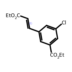 CCOC(=O)/C=C/c1cc(Cl)cc(C(=O)OCC)c1